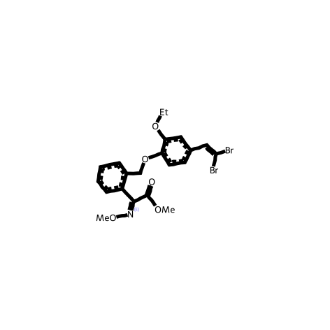 CCOc1cc(C=C(Br)Br)ccc1OCc1ccccc1/C(=N\OC)C(=O)OC